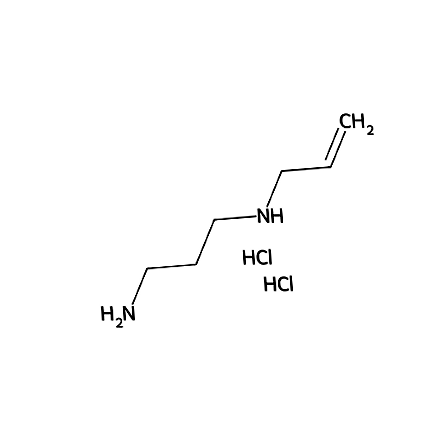 C=CCNCCCN.Cl.Cl